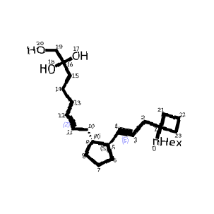 CCCCCCC1(C/C=C/[C@H]2CCC[C@@H]2C/C=C\CCCC(O)(O)CO)CCC1